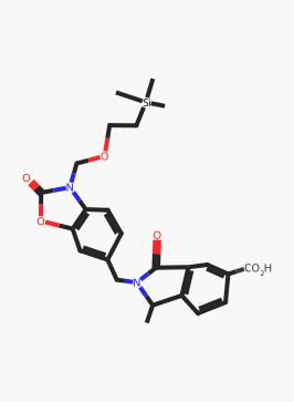 CC1c2ccc(C(=O)O)cc2C(=O)N1Cc1ccc2c(c1)oc(=O)n2COCC[Si](C)(C)C